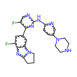 Fc1cnc(Nc2ccc(N3CCNCC3)cn2)nc1-c1cc(F)c2nc3n(c2c1)CCC3